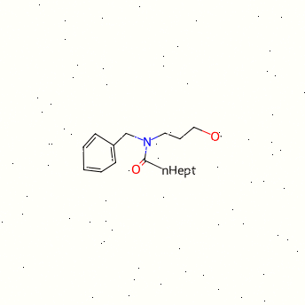 CCCCCCCC(=O)N(CCC[O])Cc1ccccc1